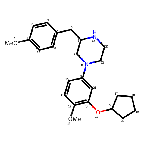 COc1ccc(CC2CN(c3ccc(OC)c(OC4CCCC4)c3)CCN2)cc1